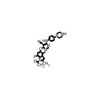 CC(=O)n1c(C)cc2c(F)c(Oc3ncnc(Nc4ccc(N5CCNCC5)cc4)c3C#N)cc(F)c21